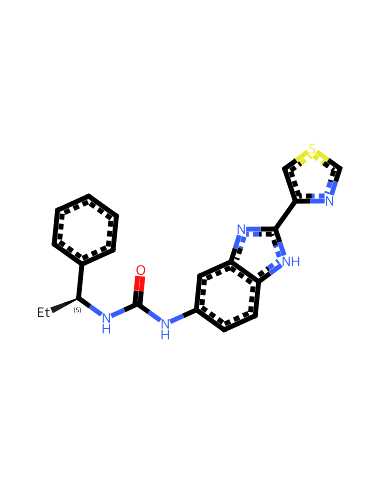 CC[C@H](NC(=O)Nc1ccc2[nH]c(-c3cscn3)nc2c1)c1ccccc1